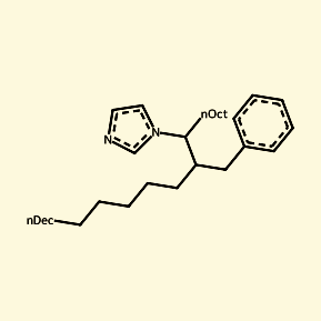 CCCCCCCCCCCCCCCC(Cc1ccccc1)C(CCCCCCCC)n1ccnc1